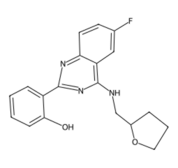 Oc1ccccc1-c1nc(NCC2CCCO2)c2cc(F)ccc2n1